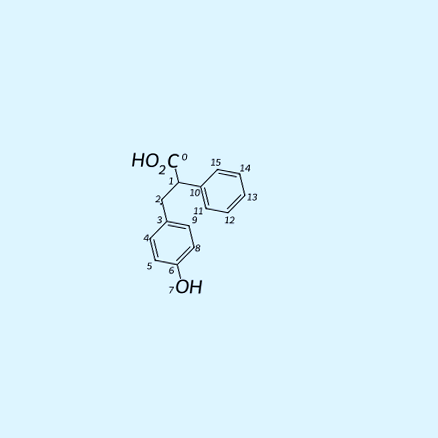 O=C(O)C([CH]c1ccc(O)cc1)c1ccccc1